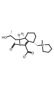 C[C@@H](O)[C@H]1C(=O)N2C(C(=O)[O-])=C3[C@@H](C[N+]4(C)CCCC4)CCC[C@@H]3[C@H]12